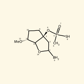 BC1C[C@@]2(OP(C)(=O)S)CC[C@@H](OC)C2O1